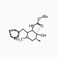 C[C@H]1CN(C(=O)O)C(Cc2ccccc2)[C@@H](NC(=O)OC(C)(C)C)[C@@]1(C)O